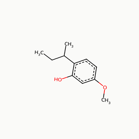 CCC(C)c1ccc(OC)cc1O